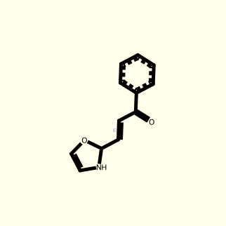 O=C(/C=C/C1NC=CO1)c1ccccc1